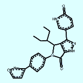 CCC(CC)C1c2c(-c3ccc(=O)[nH]c3)n[nH]c2C(=O)N1c1ccc(-c2ccon2)cc1